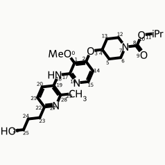 COc1c(OC2CCN(C(=O)OC(C)C)CC2)ccnc1Nc1ccc(CCCO)nc1C